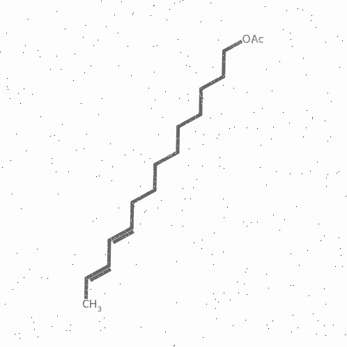 C/C=C/C=C/CCCCCCCCCOC(C)=O